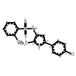 Cc1ccccc1S(=O)(=S)Nc1cc(-c2ccc(Cl)cc2)sc1C(=O)O